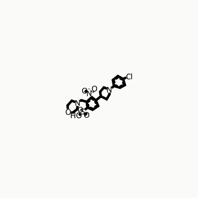 O=[N+]([O-])c1c(C2CCN(c3ccc(Cl)cc3)CC2)ccc(S(=O)(=O)O)c1CN1CCOCC1